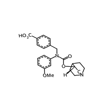 COc1cccc(N(Cc2ccc(C(=O)O)cc2)C(=O)O[C@H]2CN3CCC2CC3)c1